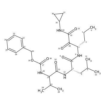 CCC[C@H](NC(=O)[C@H](CC(C)C)NC(=O)C(NC(=O)OCc1ccccc1)C(C)C)C(=O)C(=O)NC1CC1